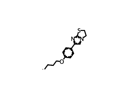 [CH2]CCCOc1ccc(-c2cn3c(n2)SCC3)cc1